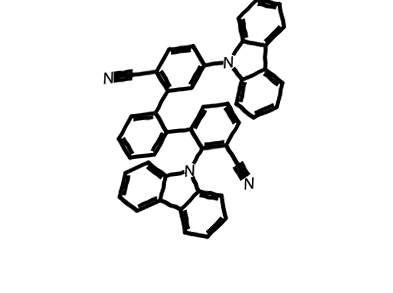 N#Cc1ccc(-n2c3ccccc3c3ccccc32)cc1-c1ccccc1-c1cccc(C#N)c1-n1c2ccccc2c2ccccc21